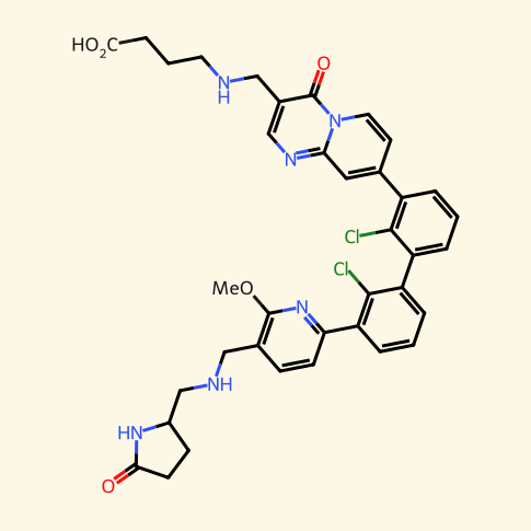 COc1nc(-c2cccc(-c3cccc(-c4ccn5c(=O)c(CNCCCC(=O)O)cnc5c4)c3Cl)c2Cl)ccc1CNCC1CCC(=O)N1